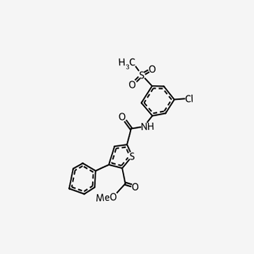 COC(=O)c1sc(C(=O)Nc2cc(Cl)cc(S(C)(=O)=O)c2)cc1-c1ccccc1